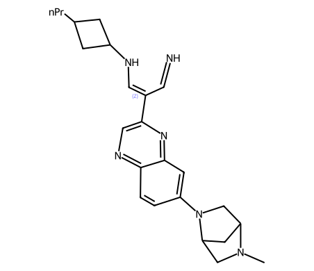 CCCC1CC(N/C=C(\C=N)c2cnc3ccc(N4CC5CC4CN5C)cc3n2)C1